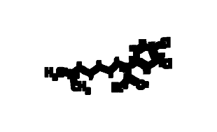 CCC(=O)N(CCCCCN(C)C)c1ccc(Cl)c(Cl)c1